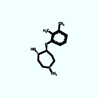 Cc1cccc(O[C@H]2CCN(C)CC[C@@H]2O)c1C